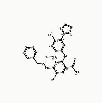 Cc1ncc(Nc2nc(N[C@@H](CN)Cc3ccccc3)c(F)cc2C(N)=O)cc1-n1nccn1